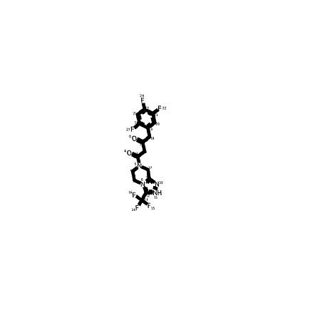 O=C(CC(=O)N1CC[n+]2c(n[nH]c2C(F)(F)F)C1)Cc1cc(F)c(F)cc1F